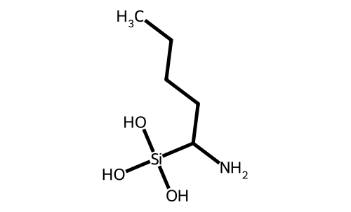 CCCCC(N)[Si](O)(O)O